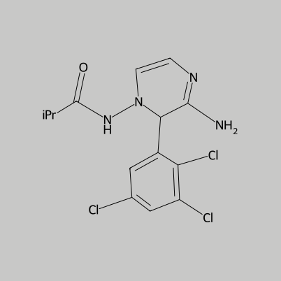 CC(C)C(=O)NN1C=CN=C(N)C1c1cc(Cl)cc(Cl)c1Cl